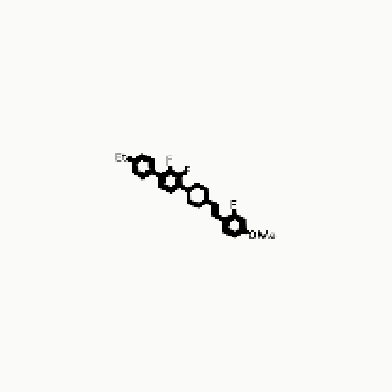 CCc1ccc(-c2ccc(C3CCC(/C=C/c4ccc(OC)cc4F)CC3)c(F)c2F)cc1